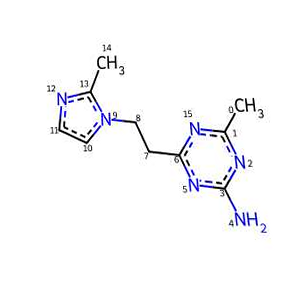 Cc1nc(N)nc(CCn2ccnc2C)n1